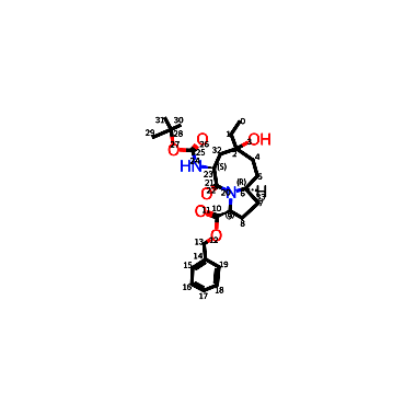 CCC1(O)CC[C@H]2CC[C@@H](C(=O)OCc3ccccc3)N2C(=O)[C@@H](NC(=O)OC(C)(C)C)C1